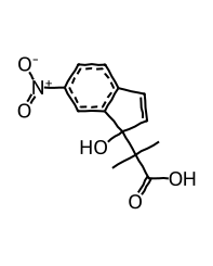 CC(C)(C(=O)O)C1(O)C=Cc2ccc([N+](=O)[O-])cc21